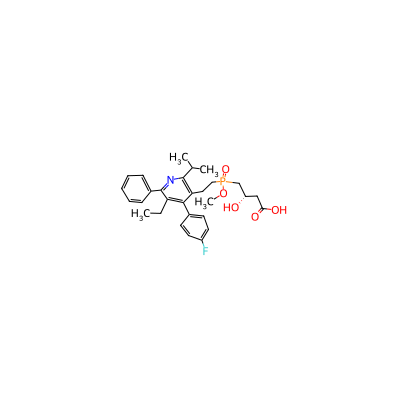 CCc1c(-c2ccccc2)nc(C(C)C)c(CCP(=O)(C[C@@H](O)CC(=O)O)OC)c1-c1ccc(F)cc1